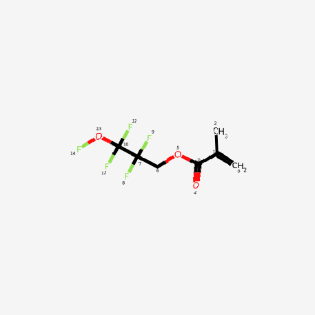 C=C(C)C(=O)OCC(F)(F)C(F)(F)OF